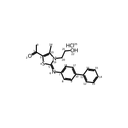 CC(=O)c1sc(=Nc2ccc(-c3ccccc3)cc2)n(CCO)c1C.Cl